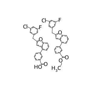 CCOC(=O)c1cccc(-c2cccc3oc(Cc4cc(F)cc(Cl)c4)cc23)c1.O=C(O)c1cccc(-c2cccc3oc(Cc4cc(F)cc(Cl)c4)cc23)c1